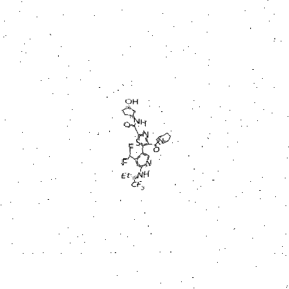 CC[C@H](Nc1cc(C(F)F)c(-c2sc(C(=O)N[C@H]3CC[C@H](O)C3)nc2C(=O)N2C3CCC2CC3)cn1)C(F)(F)F